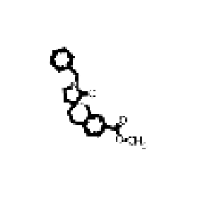 COC(=O)c1ccc2c(c1)C[C@]1(CC2)CCN(Cc2ccccc2)C1=O